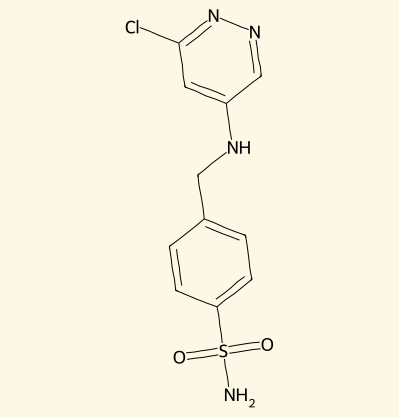 NS(=O)(=O)c1ccc(CNc2cnnc(Cl)c2)cc1